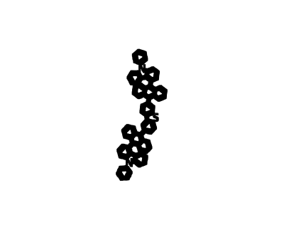 c1ccc(-n2c3ccccc3c3c(-c4c5ccccc5c(-c5ccc6c(c5)sc5ccc(-c7c8ccccc8c(-c8cccc9c8c8ccccc8n9-c8ccccc8)c8ccccc78)cc56)c5ccccc45)cccc32)cc1